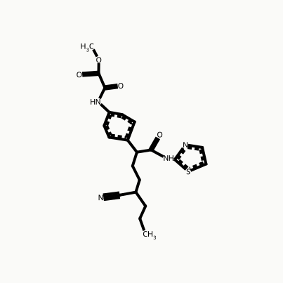 CCCC(C#N)CCC(C(=O)Nc1nccs1)c1ccc(NC(=O)C(=O)OC)cc1